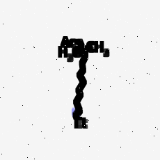 CC/C=C/CCCCCCCC[N+](C)(C)CC(C)=O